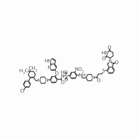 CC1(C)CCC(CN2CCN(c3ccc(C(=O)NS(=O)(=O)c4ccc(NCC5CCN(C(=O)CCSc6cccc7c6CN(C6CCC(=O)NC6=O)C7=O)CC5)c([N+](=O)[O-])c4)c(Oc4cnc5[nH]ccc5c4)c3)CC2)=C(c2ccc(Cl)cc2)C1